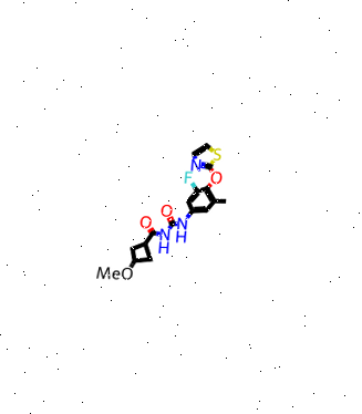 COC1CC(C(=O)NC(=O)Nc2cc(C)c(Oc3nccs3)c(F)c2)C1